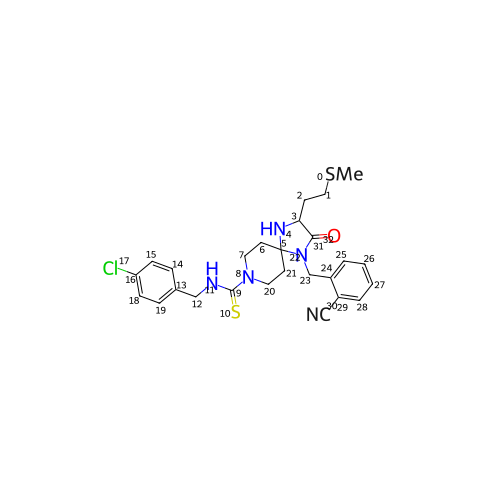 CSCCC1NC2(CCN(C(=S)NCc3ccc(Cl)cc3)CC2)N(Cc2ccccc2C#N)C1=O